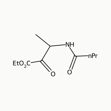 CCCC(=O)NC(C)C(=O)C(=O)OCC